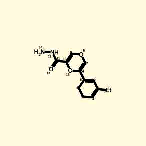 CCC1=CCCC(C2=COC=C(C(=O)NN)O2)=C1